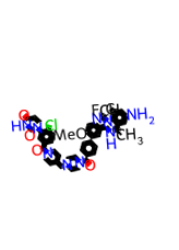 COc1cc2nc(C)nc(N[C@H](C)c3cc(N)cc(C(F)(F)F)c3)c2cc1[C@H]1CC[C@H](C(=O)N2CCN(CC3CCN(C(=O)c4ccc(Cl)c(N5CCC(=O)NC5=O)c4)CC3)CC2)CC1